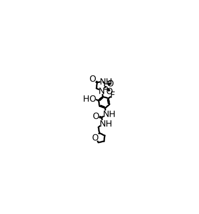 O=C1CN(c2c(O)cc(NC(=O)NCC3CCCO3)cc2F)S(=O)(=O)N1